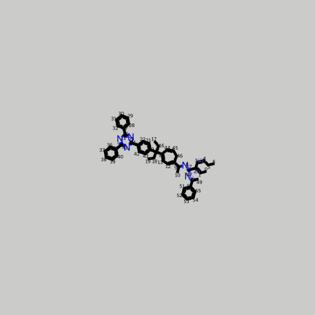 C/C=C(\C=C/CC)C(=N/C(C)C1=CC=C(C(CC)(CC)c2ccc(-c3nc(-c4ccccc4)nc(-c4ccccc4)n3)cc2)C=CC1)/N=C(\C)c1ccccc1